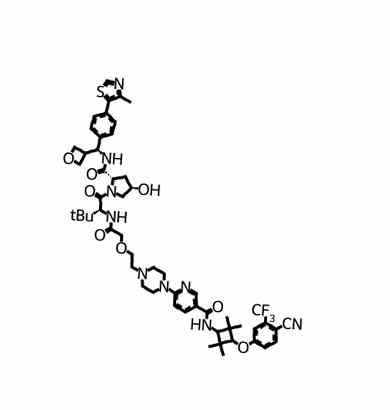 Cc1ncsc1-c1ccc([C@@H](NC(=O)[C@@H]2C[C@@H](O)CN2C(=O)[C@@H](NC(=O)COCCN2CCN(c3ccc(C(=O)NC4C(C)(C)C(Oc5ccc(C#N)c(C(F)(F)F)c5)C4(C)C)cn3)CC2)C(C)(C)C)C2COC2)cc1